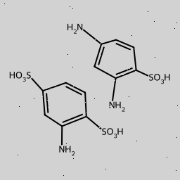 Nc1cc(S(=O)(=O)O)ccc1S(=O)(=O)O.Nc1ccc(S(=O)(=O)O)c(N)c1